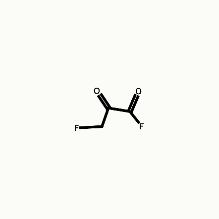 O=C(F)C(=O)CF